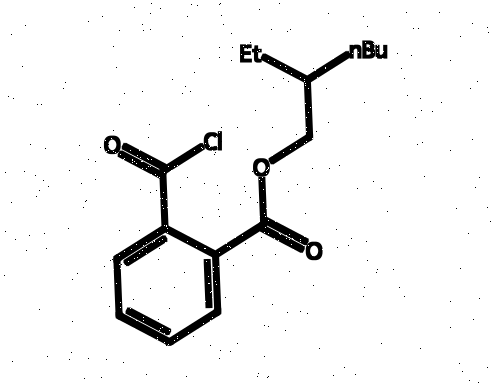 CCCCC(CC)COC(=O)c1ccccc1C(=O)Cl